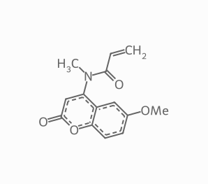 C=CC(=O)N(C)c1cc(=O)oc2ccc(OC)cc12